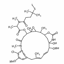 COc1cc2cc(c1Cl)N(C)C(=O)CC(OC(=O)C(C)N(C)C(=O)CCC(C)(C)SI)C1(C)OC1C(C)C1CC(O)(NC(=O)O1)C(OC)/C=C/C=C(\C)C2